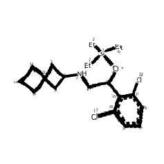 CC[Si](CC)(CC)OC(CNC1CC2(CCC2)C1)c1c(Cl)cccc1Cl